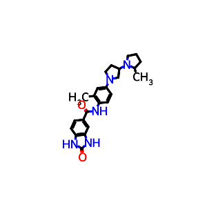 Cc1cc(N2CCC(N3CCCC3C)C2)ccc1NC(=O)c1ccc2[nH]c(=O)[nH]c2c1